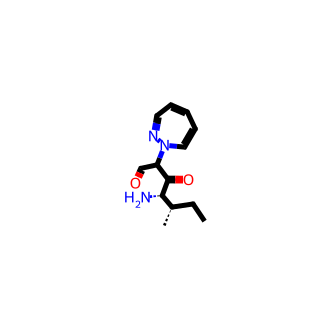 CC[C@H](C)[C@H](N)C(=O)C(C=O)N1C=CC=CC=N1